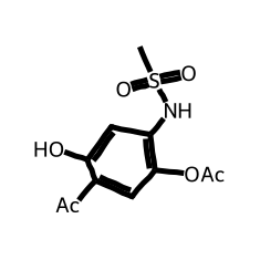 CC(=O)Oc1cc(C(C)=O)c(O)cc1NS(C)(=O)=O